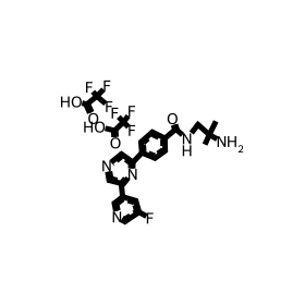 CC(C)(N)CNC(=O)c1ccc(-c2cncc(-c3cncc(F)c3)n2)cc1.O=C(O)C(F)(F)F.O=C(O)C(F)(F)F